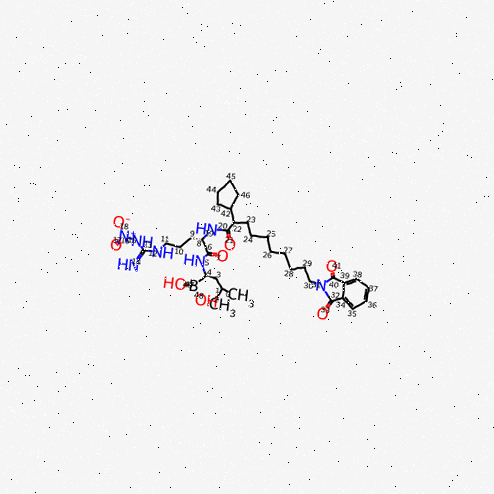 CC(C)C[C@H](NC(=O)[C@H](CCCNC(=N)N[N+](=O)[O-])NC(=O)C(CCCCCCCCN1C(=O)c2ccccc2C1=O)C1CCCC1)B(O)O